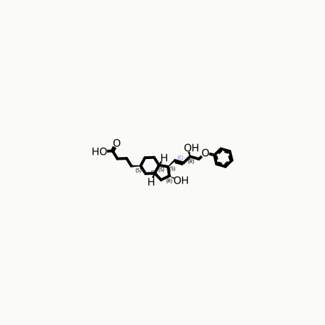 O=C(O)CCC[C@H]1CC[C@H]2[C@@H](C1)C[C@@H](O)[C@@H]2/C=C/[C@@H](O)COc1ccccc1